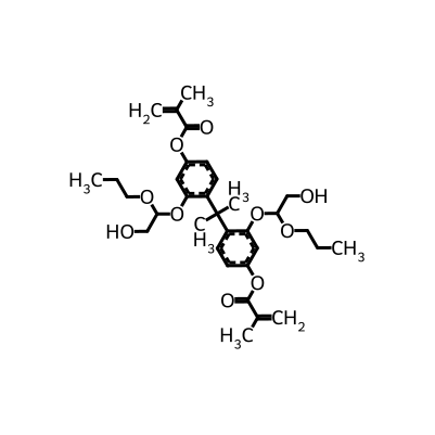 C=C(C)C(=O)Oc1ccc(C(C)(C)c2ccc(OC(=O)C(=C)C)cc2OC(CO)OCCC)c(OC(CO)OCCC)c1